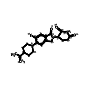 C=C(C)C1CCN(c2cc3c(cc2F)C(=O)N(C2CCC(=O)NC2=O)C3)CC1